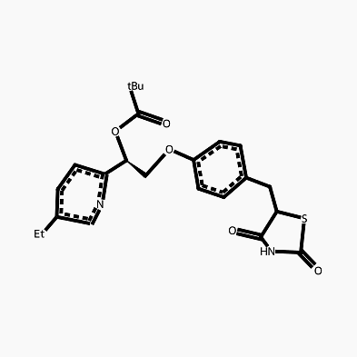 CCc1ccc([C@H](COc2ccc(CC3SC(=O)NC3=O)cc2)OC(=O)C(C)(C)C)nc1